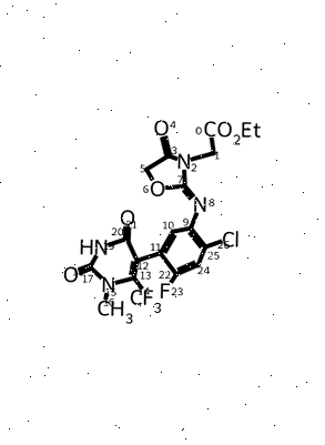 CCOC(=O)CN1C(=O)COC1=Nc1cc(-c2c(C(F)(F)F)n(C)c(=O)[nH]c2=O)c(F)cc1Cl